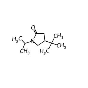 CC(C)N1CC(C(C)(C)C)CC1=O